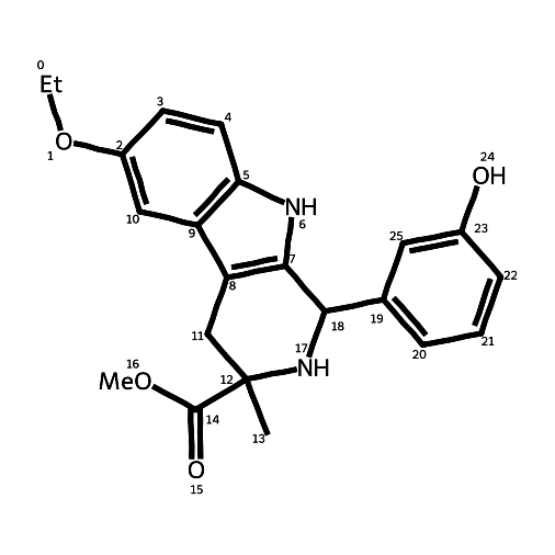 CCOc1ccc2[nH]c3c(c2c1)CC(C)(C(=O)OC)NC3c1cccc(O)c1